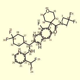 O=C(N1CC(F)(F)C1)C1(c2ccc3[nH]c([C@@H](Nc4ncccc4C(F)F)C4CCC(F)(F)CC4)nc3c2F)CCOCC1